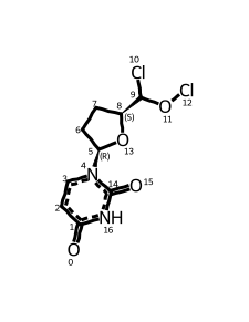 O=c1ccn([C@H]2CC[C@@H](C(Cl)OCl)O2)c(=O)[nH]1